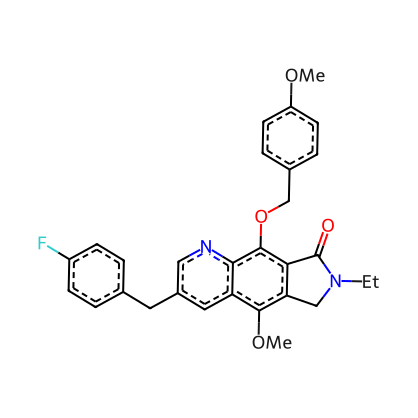 CCN1Cc2c(c(OCc3ccc(OC)cc3)c3ncc(Cc4ccc(F)cc4)cc3c2OC)C1=O